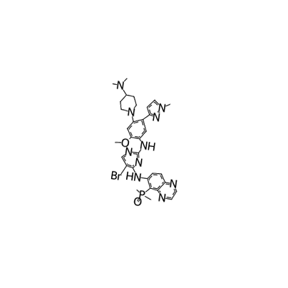 COc1cc(N2CCC(N(C)C)CC2)c(-c2ccn(C)n2)cc1Nc1ncc(Br)c(Nc2ccc3nccnc3c2P(C)(C)=O)n1